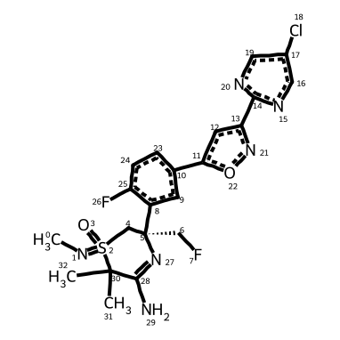 CN=S1(=O)C[C@@](CF)(c2cc(-c3cc(-c4ncc(Cl)cn4)no3)ccc2F)N=C(N)C1(C)C